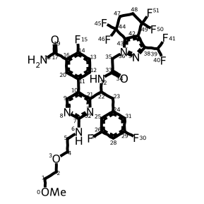 COCCOCCNc1ncc(-c2ccc(F)c(C(N)=O)c2)c(C(Cc2cc(F)cc(F)c2)NC(=O)Cn2nc(C(F)F)c3c2C(F)(F)CCC3(F)F)n1